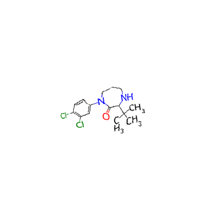 CC(C)(C)C1NCCCN(c2ccc(Cl)c(Cl)c2)C1=O